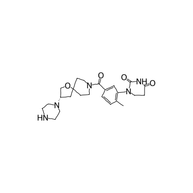 Cc1ccc(C(=O)N2CCC3(CC2)C[C@H](N2CCNCC2)CO3)cc1N1CCC(=O)NC1=O